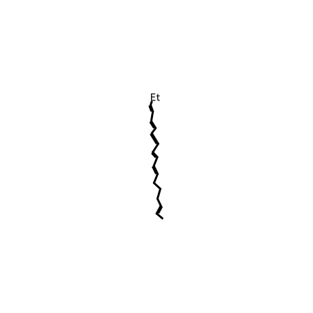 C/C=C/CCC/C=C/C=C/C=C/C=C/C=C/CC